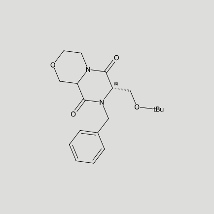 CC(C)(C)OC[C@H]1C(=O)N2CCOCC2C(=O)N1Cc1ccccc1